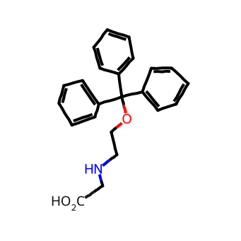 O=C(O)CNCCOC(c1ccccc1)(c1ccccc1)c1ccccc1